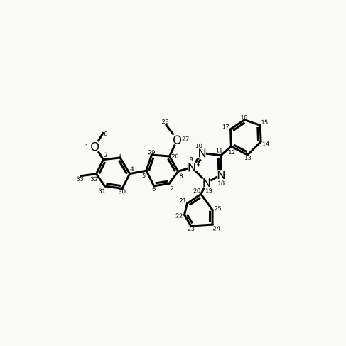 COc1cc(-c2ccc(-[n+]3nc(-c4ccccc4)nn3-c3ccccc3)c(OC)c2)ccc1C